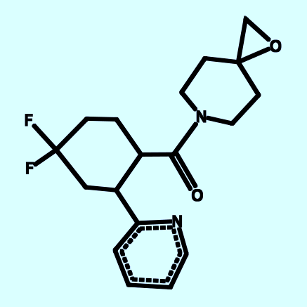 O=C(C1CCC(F)(F)CC1c1ccccn1)N1CCC2(CC1)CO2